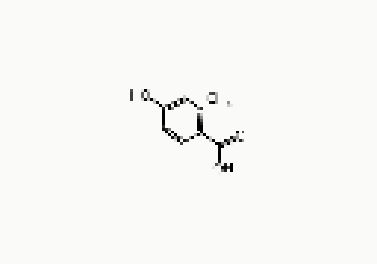 C.O=C(O)c1ccc(O)cc1